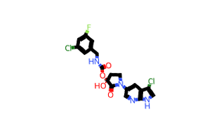 O=C(NCc1cc(F)cc(Cl)c1)O[C@@]1(O)CCN(c2cnc3[nH]cc(Cl)c3c2)C1=O